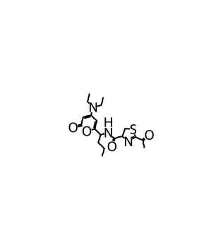 CCCC(NC(=O)C1CSC(C(C)=O)=N1)c1cc(N(CC)CC)cc(=O)o1